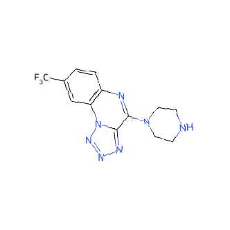 FC(F)(F)c1ccc2nc(N3CCNCC3)c3nnnn3c2c1